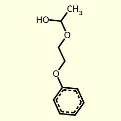 CC(O)OCCOc1ccccc1